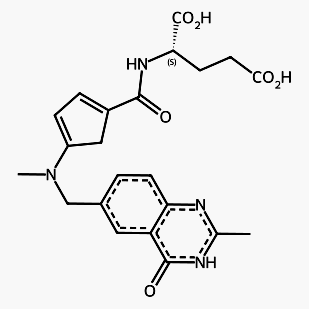 Cc1nc2ccc(CN(C)C3=CC=C(C(=O)N[C@@H](CCC(=O)O)C(=O)O)C3)cc2c(=O)[nH]1